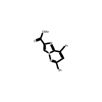 COC(=O)c1cn2nc(C(C)C)cc(C(C)C)c2n1